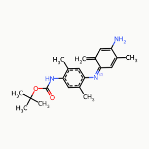 C=C1C=C(N)C(C)=C/C1=N/c1cc(C)c(NC(=O)OC(C)(C)C)cc1C